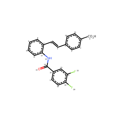 O=C(O)c1ccc(C=Cc2ccccc2NC(=O)c2ccc(F)c(F)c2)cc1